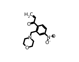 C=CC(=O)c1ccc([N+](=O)[O-])cc1CN1CCOCC1